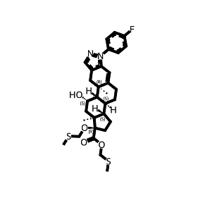 CSCOC(=O)[C@@]1(OCSC)CC[C@H]2[C@@H]3CCC4=Cc5c(cnn5-c5ccc(F)cc5)C[C@]4(C)[C@H]3[C@@H](O)C[C@@]21C